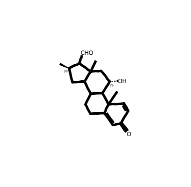 C[C@@H]1CC2C3CCC4=CC(=O)C=CC4(C)C3[C@@H](O)CC2(C)C1C=O